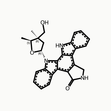 C[C@@H]1O[C@@H](n2c3ccccc3c3c4c(c5c6ccccc6[nH]c5c32)CNC4=O)C[C@]1(C)CO